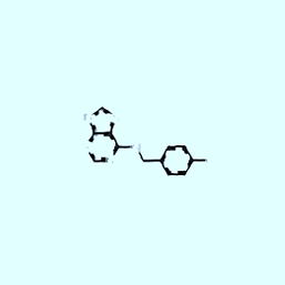 CCCCCCCCc1ccc(CNc2ncnc3[nH]cnc23)cc1